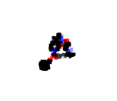 C=C(CN/C(=C\C)OC)S(=O)(=O)NC1(/C(C)=C/C)CCCN(C(=O)OCc2ccccc2)CC1